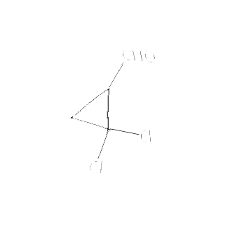 O=[C]C1CC1(Cl)Cl